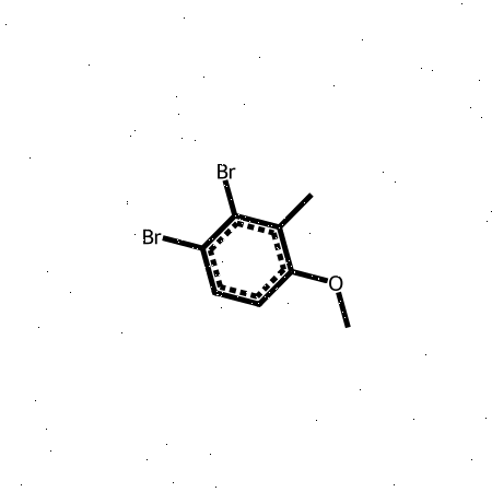 COc1ccc(Br)c(Br)c1C